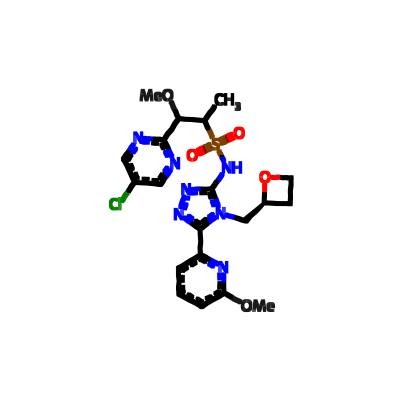 COc1cccc(-c2nnc(NS(=O)(=O)C(C)C(OC)c3ncc(Cl)cn3)n2C[C@@H]2CCO2)n1